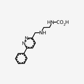 O=C(O)NCCNCc1ccc(-c2ccccc2)nn1